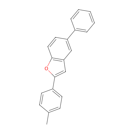 Cc1ccc(-c2cc3cc(-c4ccccc4)ccc3o2)cc1